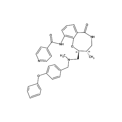 C[C@H]1CNC(=O)c2cccc(NC(=O)c3ccncc3)c2O[C@@H]1CN(C)Cc1ccc(Oc2ccccc2)cc1